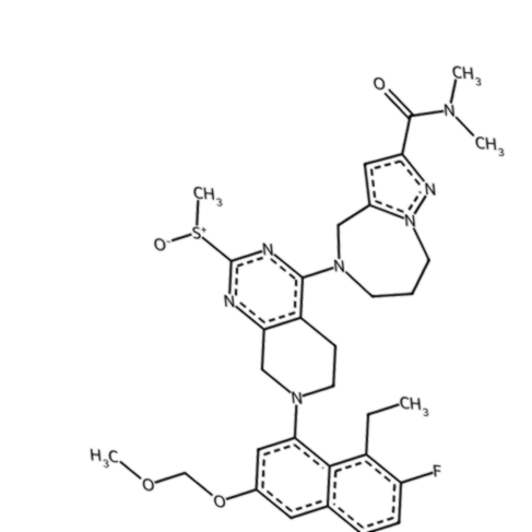 CCc1c(F)ccc2cc(OCOC)cc(N3CCc4c(nc([S+](C)[O-])nc4N4CCCn5nc(C(=O)N(C)C)cc5C4)C3)c12